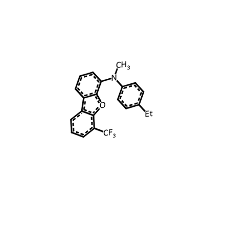 CCc1ccc(N(C)c2cccc3c2oc2c(C(F)(F)F)cccc23)cc1